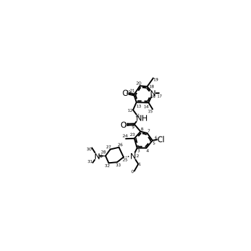 CCN(c1cc(Cl)cc(C(=O)NCc2c(C)n(C)c(C)cc2=O)c1C)[C@H]1CC[C@H](N(C)C)CC1